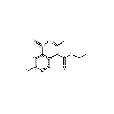 CCOC(=O)C(C(C)=O)c1cnc(C)cc1[N+](=O)[O-]